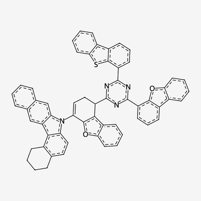 C1=C(n2c3cc4ccccc4cc3c3c4c(ccc32)CCCC4)c2oc3ccccc3c2C(c2nc(-c3cccc4c3oc3ccccc34)nc(-c3cccc4c3sc3ccccc34)n2)C1